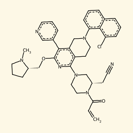 C=CC(=O)N1CCN(c2nc(OC[C@@H]3CCCN3C)c(-c3cccnc3)c3c2CCN(c2cccc4cccc(Cl)c24)C3)C[C@@H]1CC#N